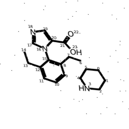 C1CCNCC1.CCc1cccc(CC)c1-n1cncc1C(=O)O